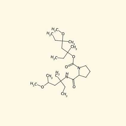 CCC(C)(CC(C)OC)NC(=O)C1CCCN1C(=O)OC(C)(CC)CC(C)(CC)OC